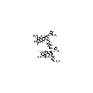 Cc1cc(N)c(N)c(N2CCc3c(nc(OC[C@@H]4CCCN4C)nc3N3CCN(C(=O)O)CC3)C2)c1C.Cc1cc2[nH]c(=O)[nH]c2c(N2CCc3c(nc(OC[C@@H]4CCCN4C)nc3N3CCN(C(=O)OC(C)(C)C)CC3)C2)c1C